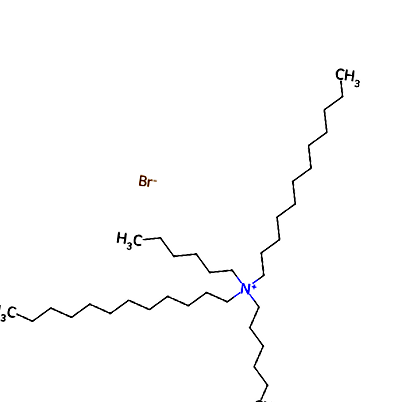 CCCCCCCCCCCC[N+](CCCCCC)(CCCCCC)CCCCCCCCCCCC.[Br-]